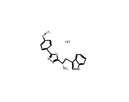 Cl.N[C@@H](Cc1c[nH]c2ccccc12)c1nnc(-c2ccc(OC(F)(F)F)cc2)o1